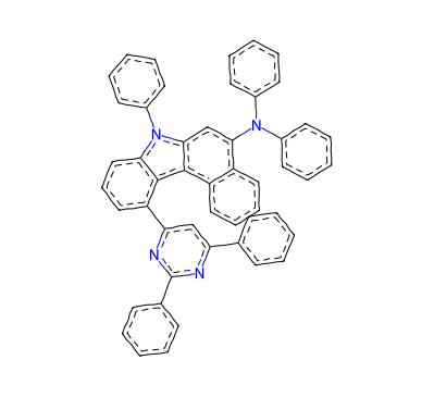 c1ccc(-c2cc(-c3cccc4c3c3c5ccccc5c(N(c5ccccc5)c5ccccc5)cc3n4-c3ccccc3)nc(-c3ccccc3)n2)cc1